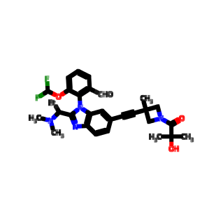 CCC(c1nc2ccc(C#CC3(C)CN(C(=O)C(C)(C)O)C3)cc2n1-c1c(C=O)cccc1OC(F)F)N(C)C